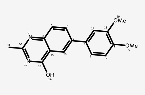 COc1ccc(-c2ccc3nc(C)nc(O)c3c2)cc1OC